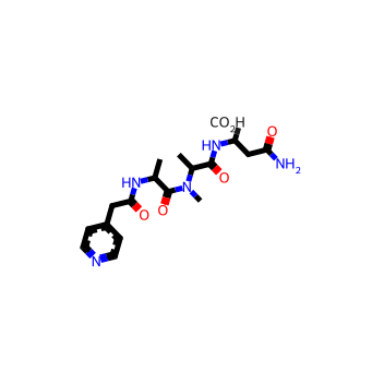 CC(NC(=O)Cc1ccncc1)C(=O)N(C)C(C)C(=O)NC(CC(N)=O)C(=O)O